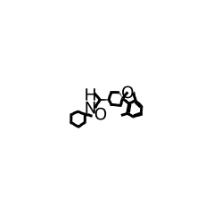 Cc1cccc2c1[C@]1(CC[C@H](C(C)C(=O)NC3(C)CCCCC3)CC1)OC2